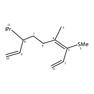 C=C/C(SC)=C(/C)CCC(C=C)C(C)C